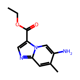 CCOC(=O)c1cnc2cc(C)c(N)cn12